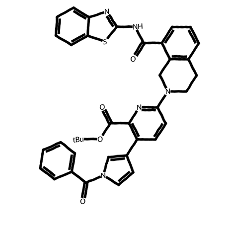 CC(C)(C)OC(=O)c1nc(N2CCc3cccc(C(=O)Nc4nc5ccccc5s4)c3C2)ccc1-c1ccn(C(=O)c2ccccc2)c1